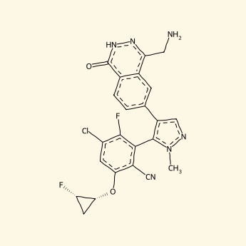 Cn1ncc(-c2ccc3c(=O)[nH]nc(CN)c3c2)c1-c1c(F)c(Cl)cc(O[C@@H]2C[C@@H]2F)c1C#N